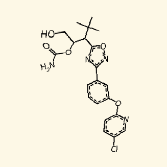 CC(C)(C)C(c1nc(-c2cccc(Oc3ccc(Cl)cn3)c2)no1)C(CO)OC(N)=O